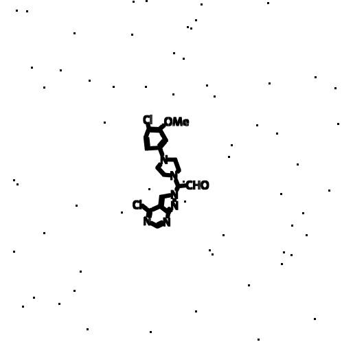 COc1cc(N2CCN(C(C=O)n3cc4c(Cl)ncnc4n3)CC2)ccc1Cl